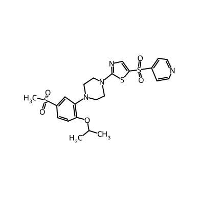 CC(C)Oc1ccc(S(C)(=O)=O)cc1N1CCN(c2ncc(S(=O)(=O)c3ccncc3)s2)CC1